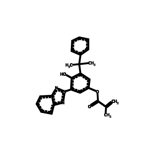 C=C(C)C(=O)Oc1cc(-n2nc3ccccc3n2)c(O)c(C(C)(C)c2ccccc2)c1